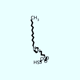 CCCCCCCCCCCCN1C=CN(CCCS(=O)(=O)OSS)C1